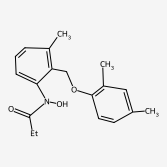 CCC(=O)N(O)c1cccc(C)c1COc1ccc(C)cc1C